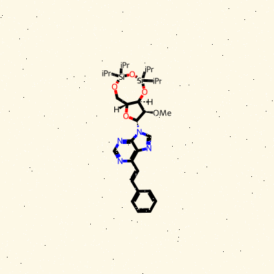 CO[C@@H]1[C@@H]2O[Si](C(C)C)(C(C)C)O[Si](C(C)C)(C(C)C)OC[C@H]2O[C@H]1n1cnc2c(/C=C/c3ccccc3)ncnc21